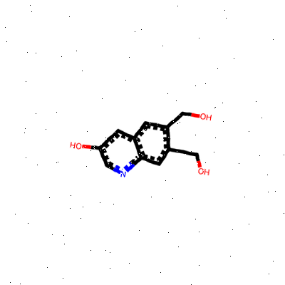 OCc1cc2cc(O)cnc2cc1CO